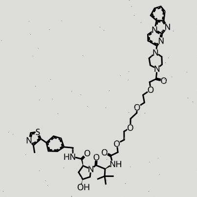 Cc1ncsc1-c1ccc(CNC(=O)[C@@H]2C[C@@H](O)CN2C(=O)[C@@H](NC(=O)COCCOCCOCCOCC(=O)N2CCN(c3ccn4c(n3)nc3ccccc34)CC2)C(C)(C)C)cc1